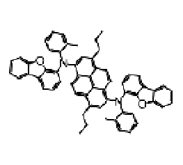 CCCc1cc(N(c2ccccc2C)c2cccc3c2oc2ccccc23)c2ccc3c(CCC)cc(N(c4ccccc4C)c4cccc5c4oc4ccccc45)c4ccc1c2c34